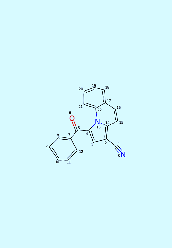 N#Cc1cc(C(=O)c2ccccc2)n2c1ccc1ccccc12